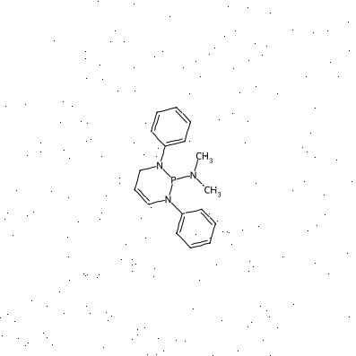 CN(C)P1N(c2ccccc2)C=CCN1c1ccccc1